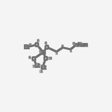 CCCCCCCCCCCCO[Si](OCC)(OCC)OCC